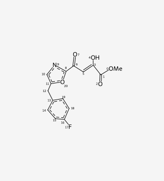 COC(=O)C(O)=CC(=O)c1ncc(Cc2ccc(F)cc2)o1